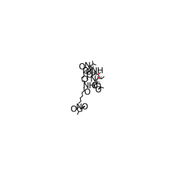 CC[C@H](C)C([C@@H](CC(C)=O)OC)N(C)C(=O)[C@@H](NC(=O)[C@H](C(C)C)N(C)C(=O)OCc1ccc(NCC(=O)CCCCCN2C(=O)CC(C)C2=O)cc1)C(C)C